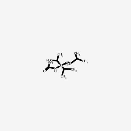 CC(C)[SiH2]O[Si](NC(=O)O)(C(C)C)C(C)C